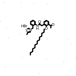 Br.CCCCCCCCCCCCCCOc1c(CC(=O)Nc2ccccc2CN2C=C(C)SC2)cccc1C(C)=O